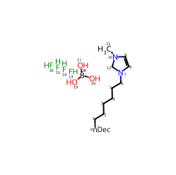 CCCCCCCCCCCCCCCCN1C=CN(C)C1.F.F.F.F.OB(O)O